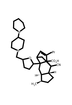 CC(C)C1=CC2CC3(C#N)[C@@H]4CC[C@@H](C)[C@H]4CC2(C2CCC(CN4CCC(N5CCCCC5)CC4)O2)C13C(=O)O